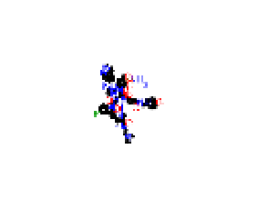 CCN(CC)CCNC(=O)c1c(C)[nH]c(/C=C2\C(=O)N(C(=O)CC[C@@H](NC(=O)CCC(=O)NCc3ccc(OC)cc3)C(=O)N(c3ccc(C)c(S(N)(=O)=O)c3)c3nccc(N(C)c4ccc5c(C)n(C)nc5c4)n3)c3ccc(F)cc32)c1C